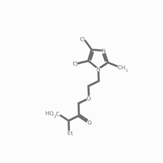 CCC(C(=O)O)C(=O)COCCn1c(C)nc(Cl)c1Cl